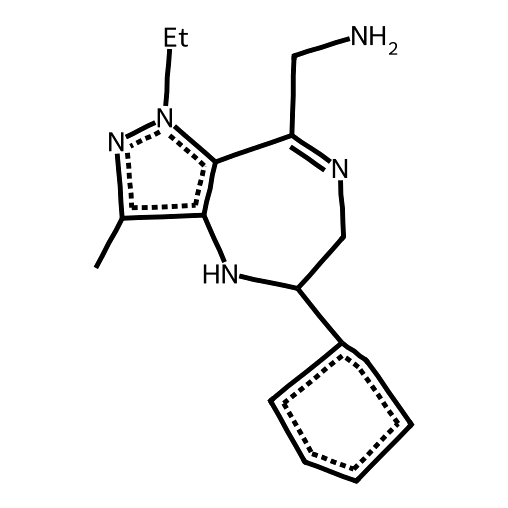 CCn1nc(C)c2c1C(CN)=NCC(c1ccccc1)N2